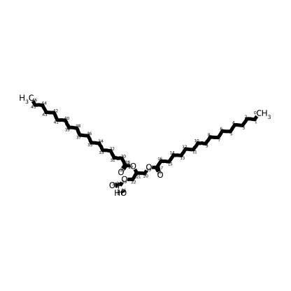 CCCCCCCCCCCCCCCCCC(=O)OCC(CO[PH](=O)O)OC(=O)CCCCCCCCCCCCCCCCC